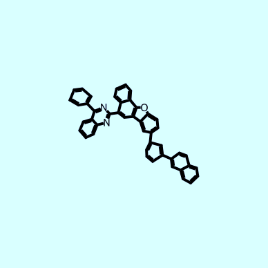 c1ccc(-c2nc(-c3cc4c5cc(-c6cccc(-c7ccc8ccccc8c7)c6)ccc5oc4c4ccccc34)nc3ccccc23)cc1